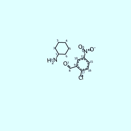 NC1CCCCC1.O=Cc1cc([N+](=O)[O-])ccc1Cl